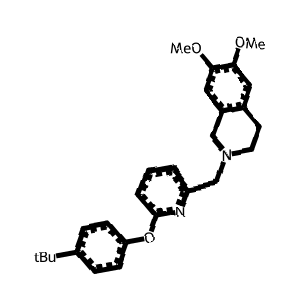 COc1cc2c(cc1OC)CN(Cc1cccc(Oc3ccc(C(C)(C)C)cc3)n1)CC2